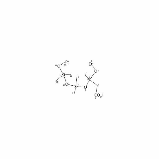 CCO[Si](C)(CC(=O)O)O[Si](C)(C)O[Si](C)(C)OC(C)C